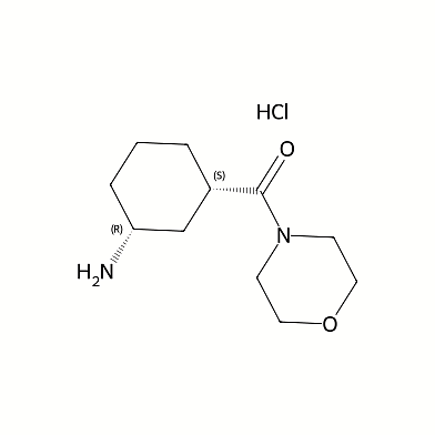 Cl.N[C@@H]1CCC[C@H](C(=O)N2CCOCC2)C1